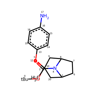 CC(C)(C)OC(=O)N1C2CCC1CC(C)(Oc1ccc(N)cc1)C2